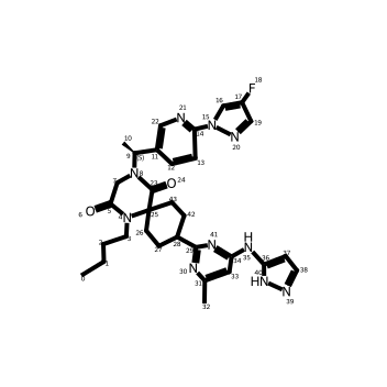 CCCCN1C(=O)CN([C@@H](C)c2ccc(-n3cc(F)cn3)nc2)C(=O)C12CCC(c1nc(C)cc(Nc3ccn[nH]3)n1)CC2